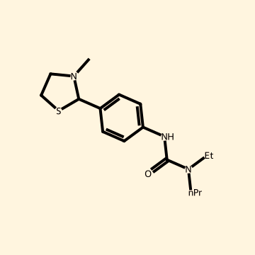 CCCN(CC)C(=O)Nc1ccc(C2SCCN2C)cc1